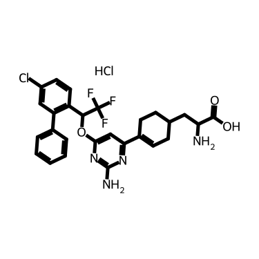 Cl.Nc1nc(OC(c2ccc(Cl)cc2-c2ccccc2)C(F)(F)F)cc(C2=CCC(CC(N)C(=O)O)CC2)n1